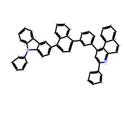 c1ccc(-c2cc(-c3cccc(-c4ccc(-c5ccc6c(c5)c5ccccc5n6-c5ccccc5)c5ccccc45)c3)c3c(ccc4ccccc43)n2)cc1